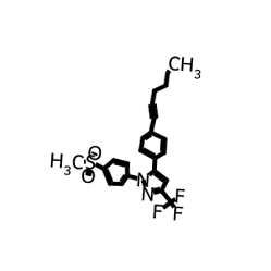 CCCCC#Cc1ccc(-c2cc(C(F)(F)F)nn2-c2ccc(S(C)(=O)=O)cc2)cc1